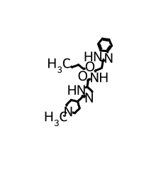 CCCCOC(Cc1nc2ccccc2[nH]1)NC(=O)C1CN=C(C2CCN(C)CC2)N1